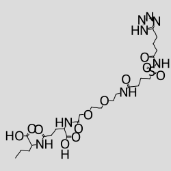 CCCC(NC(=O)CCC(NC(=O)COCCOCCNC(=O)CCCS(=O)(=O)NC(=O)CCCc1nnn[nH]1)C(=O)O)C(=O)O